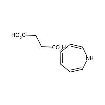 C1=CC=CNC=C1.O=C(O)CCC(=O)O